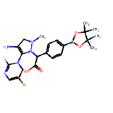 CN1CC(N)=C(N2CC(Br)=CN=C2F)N1C(C(=O)O)c1ccc(B2OC(C)(C)C(C)(C)O2)cc1